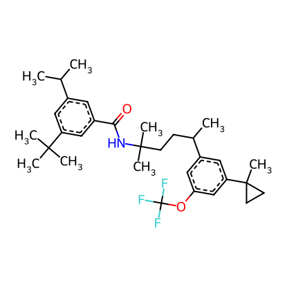 CC(C)c1cc(C(=O)NC(C)(C)CCC(C)c2cc(OC(F)(F)F)cc(C3(C)CC3)c2)cc(C(C)(C)C)c1